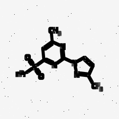 CCCS(=O)(=O)c1cc(C)nc(-n2ccc(C(F)(F)F)n2)n1